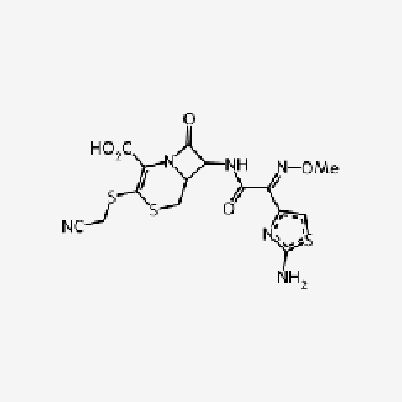 CON=C(C(=O)NC1C(=O)N2C(C(=O)O)=C(SCC#N)SCC12)c1csc(N)n1